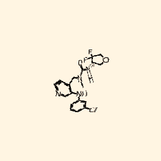 CN(Cc1ccncc1Nc1cccc(Cl)c1)C(=O)N[C@H]1COCC1(F)F